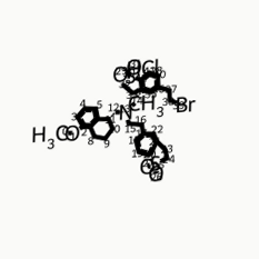 COc1cccc2c1CCC[C@H]2CN(C)CCc1ccc2c(c1)CCS2(=O)=O.Cl.O=S1(=O)CCc2cc(CCBr)ccc21